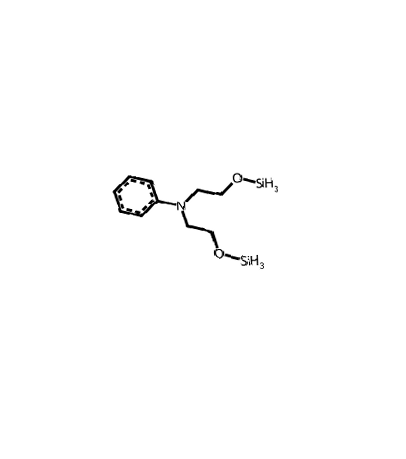 [SiH3]OCCN(CCO[SiH3])c1ccccc1